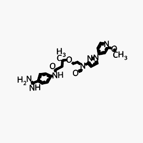 COc1cc(-n2ccc(N(C=O)CCOC(C)CC(=O)Nc3ccc(C(=N)N)cc3)n2)ccn1